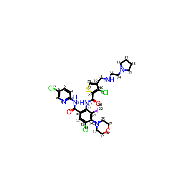 O=C(Nc1ccc(Cl)cn1)c1cc(Cl)c(N2CCOCC2)c(I)c1NC(=O)c1scc(CNCCN2CCCC2)c1Cl